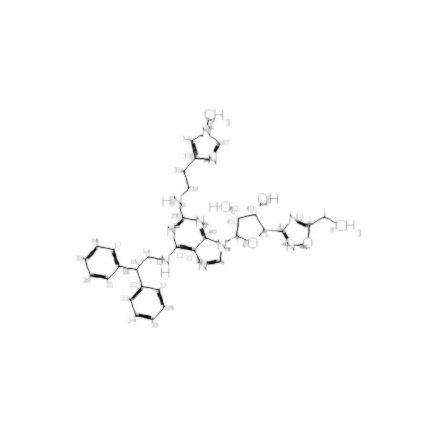 CCc1nc([C@H]2O[C@@H](n3cnc4c(NCC(c5ccccc5)c5ccccc5)nc(NCCc5cn(C)cn5)nc43)[C@H](O)[C@@H]2O)no1